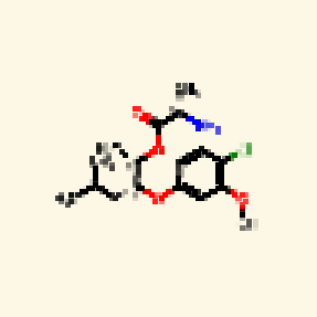 COc1cc(O[C@H](CC(C)C)[C@H](C)OC(=O)[C@H](C)N)ccc1Cl